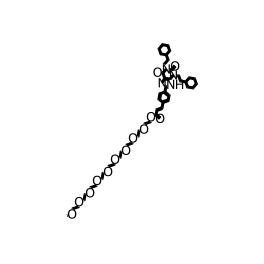 COCCOCCOCCOCCOCCOCCOCCOCCOCCOC(=O)/C=C/c1ccc(-c2nc3c(=O)n(CCC4CCCCC4)c(=O)n(CCC4CCCCC4)c3[nH]2)cc1